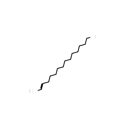 OC=CCCCCCCCCCCCCO